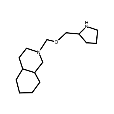 C1CNC(COCN2CCC3CCCCC3C2)C1